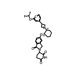 O=C1CCC(N2Cc3cc(O[C@H]4CCCC[C@@H]4N4CC(c5cccc(OC(F)F)c5)C4)ccc3C2=O)C(=O)N1